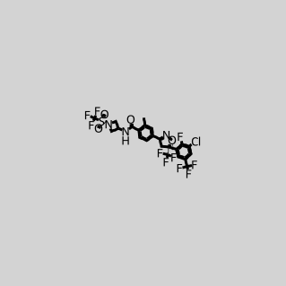 Cc1cc(C2=NO[C@](c3cc(C(F)(F)F)cc(Cl)c3F)(C(F)(F)F)C2)ccc1C(=O)NC1CN(S(=O)(=O)C(F)(F)F)C1